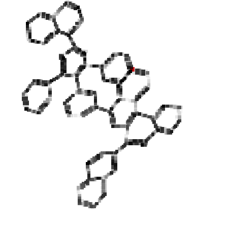 c1ccc(-c2nc(-c3cccc4ccccc34)nc(-c3ccccc3)c2-c2cccc(-c3cc4c(-c5ccc6ccccc6c5)nc5ccccc5c4c4ccccc34)c2)cc1